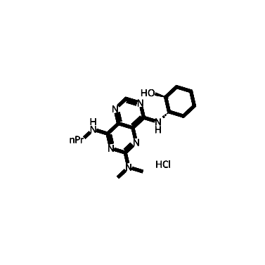 CCCNc1nc(N(C)C)nc2c(N[C@H]3CCCC[C@@H]3O)ncnc12.Cl